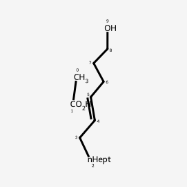 CC(=O)O.CCCCCCCCC=CCCCO